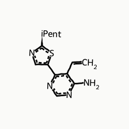 C=Cc1c(N)ncnc1-c1cnc([C@H](C)CCC)s1